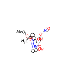 COCCOCC(C)(C)OC(=O)N[C@@H](Cc1ccccc1)[C@@H](O)C[C@@H](Cc1ccc(OCCN2CCOCC2)cc1)C(=O)N[C@H]1c2ccccc2C[C@H]1O